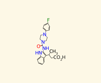 CC(CC(=O)O)c1c(NC(=O)N2CCN(c3ccc(F)cc3)CC2)[nH]c2ccccc12